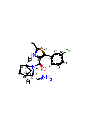 Cc1nc(C(=O)N2[C@@H]3CC[C@@H](C3)[C@H]2CN)c(-c2cccc(F)c2)s1